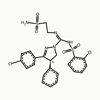 NS(=O)(=O)CCN=C(NS(=O)(=O)c1ccccc1Cl)N1C[C@@H](c2ccccc2)C(c2ccc(Cl)cc2)=N1